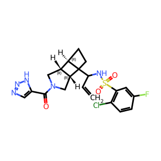 C=CC(NS(=O)(=O)c1cc(F)ccc1Cl)C12CC[C@@H]1[C@H]1CN(C(=O)c3cnn[nH]3)C[C@H]12